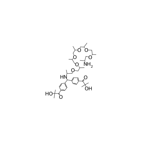 CC(N)COC(C)COC(C)COC(C)COC(C)COC(C)COCC(C)NC(c1ccc(C(=O)C(C)(C)O)cc1)c1ccc(C(=O)C(C)(C)O)cc1